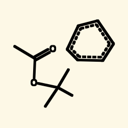 CC(=O)OC(C)(C)C.c1ccccc1